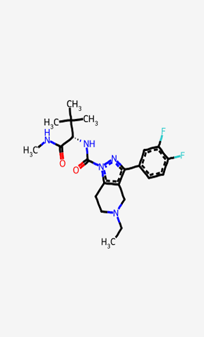 CCN1CCc2c(c(-c3ccc(F)c(F)c3)nn2C(=O)N[C@H](C(=O)NC)C(C)(C)C)C1